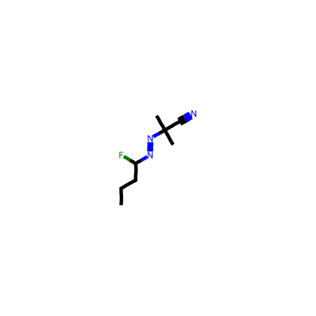 CCCC(F)N=NC(C)(C)C#N